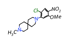 COc1cc(N2CCC3(CCN(C)CC3)CC2)c(Cl)cc1[N+](=O)[O-]